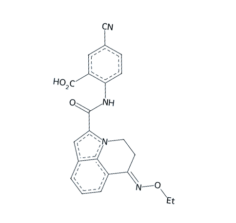 CCON=C1CCn2c(C(=O)Nc3ccc(C#N)cc3C(=O)O)cc3cccc1c32